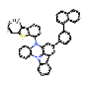 C/C=C\c1sc2c(N3c4ccccc4-n4c5ccccc5c5cc(-c6cccc(-c7cccc8ccccc78)c6)cc3c54)cccc2c1C